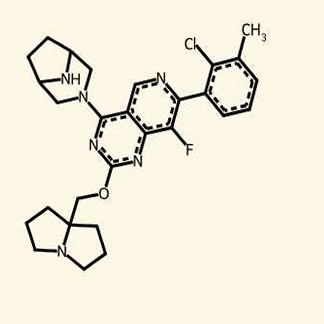 Cc1cccc(-c2ncc3c(N4CC5CCC(C4)N5)nc(OCC45CCCN4CCC5)nc3c2F)c1Cl